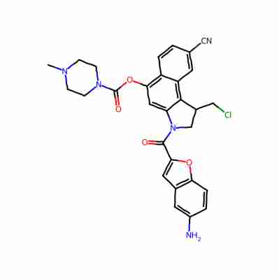 CN1CCN(C(=O)Oc2cc3c(c4cc(C#N)ccc24)C(CCl)CN3C(=O)c2cc3cc(N)ccc3o2)CC1